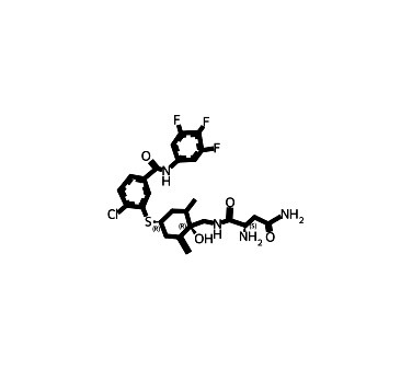 C=C1C[C@H](Sc2cc(C(=O)Nc3cc(F)c(F)c(F)c3)ccc2Cl)CC(C)[C@]1(O)CNC(=O)[C@@H](N)CC(N)=O